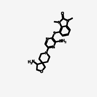 Cn1c(=O)n(C)c2c(Sc3ncc(N4CCC5(CC4)COCC5N)nc3N)cccc21